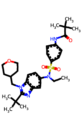 CCN(c1ccc2c(c1)nc(C(C)(C)C)n2CC1CCOCC1)S(=O)(=O)c1ccc(NC(=O)C(C)(C)C)cc1